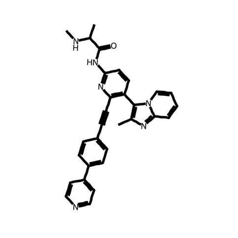 CNC(C)C(=O)Nc1ccc(-c2c(C)nc3ccccn23)c(C#Cc2ccc(-c3ccncc3)cc2)n1